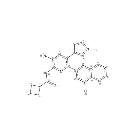 Cn1ccc(-c2nc(N)c(NC(=O)C3CCC3)nc2-c2cc(Cl)c3ncccc3c2)n1